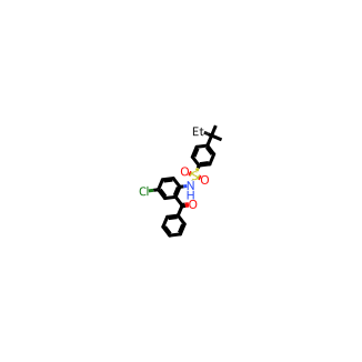 CCC(C)(C)c1ccc(S(=O)(=O)Nc2ccc(Cl)cc2C(=O)c2ccccc2)cc1